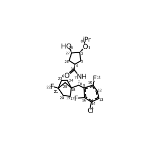 CC(C)O[C@H]1C[C@@H](C(=O)N[C@H](c2c(F)ccc(Cl)c2F)C23CCC(F)(CC2)C3)C[C@H]1O